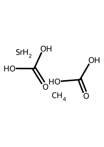 C.O=C(O)O.O=C(O)O.[SrH2]